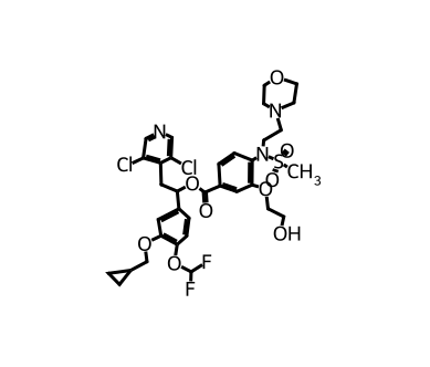 CS(=O)(=O)N(CCN1CCOCC1)c1ccc(C(=O)OC(Cc2c(Cl)cncc2Cl)c2ccc(OC(F)F)c(OCC3CC3)c2)cc1OCCO